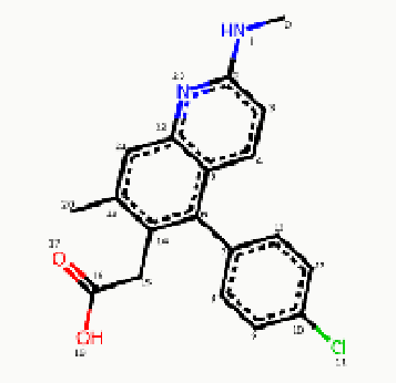 CNc1ccc2c(-c3ccc(Cl)cc3)c(CC(=O)O)c(C)cc2n1